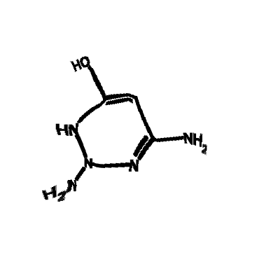 NC1=NN(N)NC(O)=C1